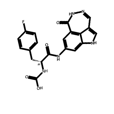 O=C(O)N[C@H](Cc1ccc(F)cc1)C(=O)Nc1cc2c3c(c[nH]c3c1)C=NNC2=O